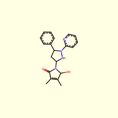 CC1=C(C)C(O)N(C2CC(c3ccccc3)N(c3ccccn3)N2)C1=O